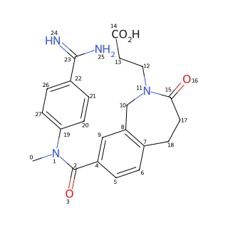 CN(C(=O)c1ccc2c(c1)CN(CCC(=O)O)C(=O)CC2)c1ccc(C(=N)N)cc1